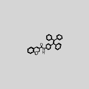 O=C(Nc1ccc(C(=C(c2ccccc2)c2ccccc2)c2ccccc2)cc1)C1=Cc2ccccc2OC1